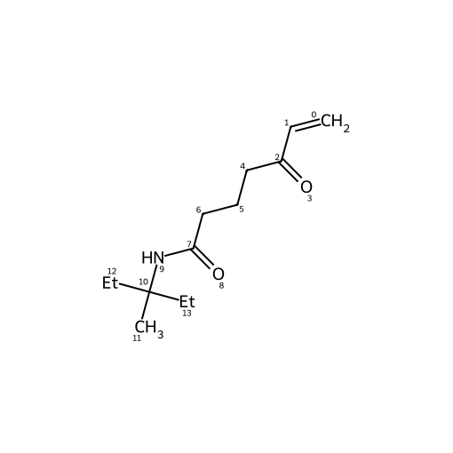 C=CC(=O)CCCC(=O)NC(C)(CC)CC